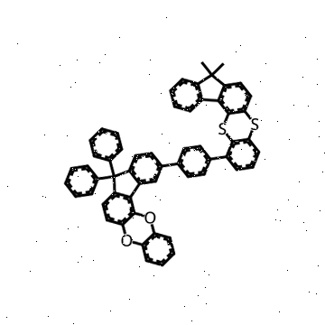 CC1(C)c2ccccc2-c2c1ccc1c2Sc2c(cccc2-c2ccc(-c3ccc4c(c3)-c3c(ccc5c3Oc3ccccc3O5)C4(c3ccccc3)c3ccccc3)cc2)S1